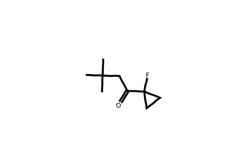 CC(C)(C)CC(=O)C1(F)CC1